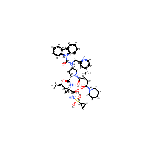 C=CC1C[C@]1(NC(=O)[C@@H]1C[C@@H](N(Cc2ccccn2)C(=O)n2c3ccccc3c3ccccc32)CN1C(=O)[C@@H](CC(=O)N1CCCCC1)C(C)(C)C)C(=O)NS(=O)(=O)C1CC1